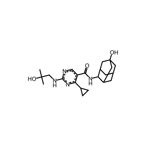 CC(C)(O)CNc1ncc(C(=O)NC2C3CC4CC2CC(O)(C4)C3)c(C2CC2)n1